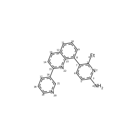 CCc1nc(N)ccc1-c1cccc2ccc(-c3cccnc3)nc12